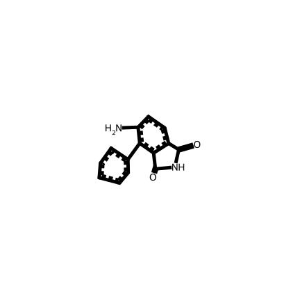 Nc1ccc2c(c1-c1ccccc1)C(=O)NC2=O